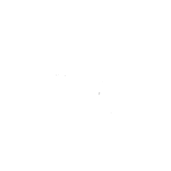 CNc1cccc(C(=O)NCC(C)(C)C)c1